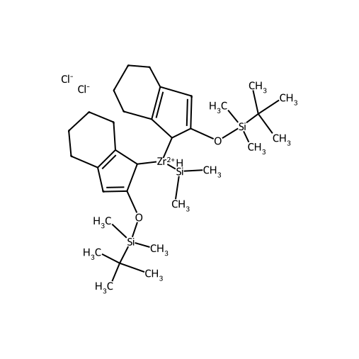 C[SiH](C)[Zr+2]([CH]1C(O[Si](C)(C)C(C)(C)C)=CC2=C1CCCC2)[CH]1C(O[Si](C)(C)C(C)(C)C)=CC2=C1CCCC2.[Cl-].[Cl-]